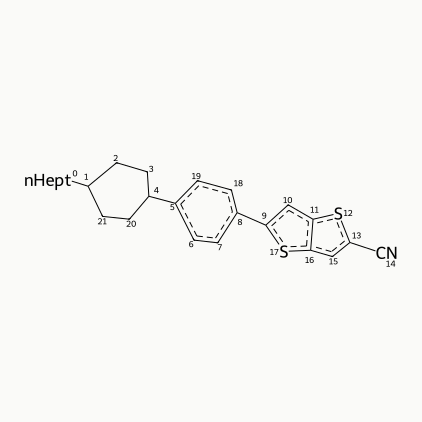 CCCCCCCC1CCC(c2ccc(-c3cc4sc(C#N)cc4s3)cc2)CC1